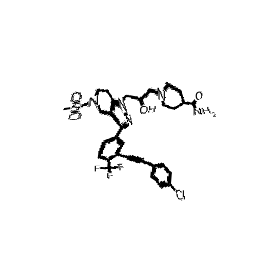 CS(=O)(=O)N1CCc2c(c(-c3ccc(C(F)(F)F)c(C#Cc4ccc(Cl)cc4)c3)nn2CC(O)CN2CCC(C(N)=O)CC2)C1